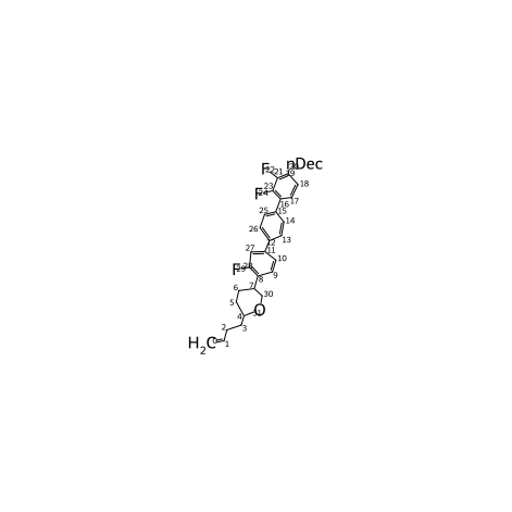 C=CCCC1CCC(c2ccc(-c3ccc(-c4ccc(CCCCCCCCCC)c(F)c4F)cc3)cc2F)CO1